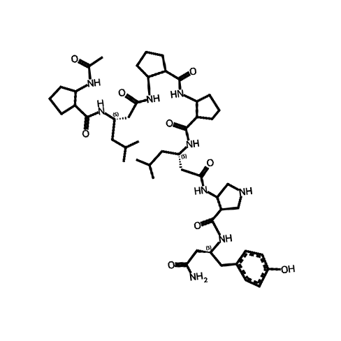 CC(=O)NC1CCCC1C(=O)N[C@H](CC(=O)NC1CCCC1C(=O)NC1CCCC1C(=O)N[C@H](CC(=O)NC1CNCC1C(=O)N[C@H](CC(N)=O)Cc1ccc(O)cc1)CC(C)C)CC(C)C